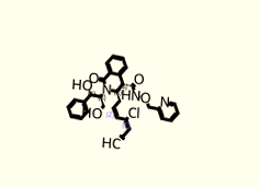 C#C/C=C(Cl)\C=C/C[C@@H]1[C@@H](C(=O)NOCc2ccccn2)c2ccccc2C(=O)N1[C@@H](CO)[C@@H](O)c1ccccc1